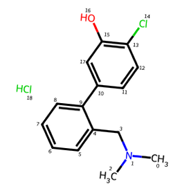 CN(C)Cc1ccccc1-c1ccc(Cl)c(O)c1.Cl